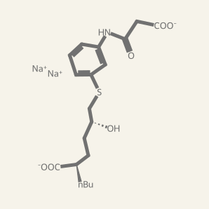 CCCC[C@H](CC[C@@H](O)CSc1cccc(NC(=O)CC(=O)[O-])c1)C(=O)[O-].[Na+].[Na+]